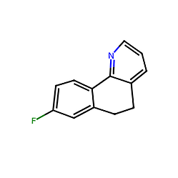 Fc1ccc2c(c1)CCc1cccnc1-2